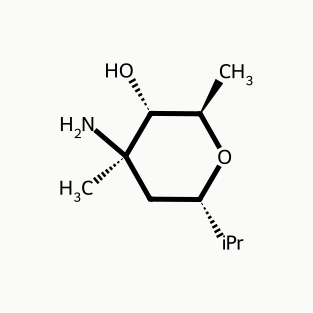 CC(C)[C@@H]1C[C@@](C)(N)[C@H](O)[C@@H](C)O1